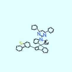 c1ccc(-c2cc(-c3ccccc3)nc(N3c4ccccc4C4(c5ccccc5-c5ccc(-c6ccc7sc8ccccc8c7c6)cc54)c4ccccc43)n2)cc1